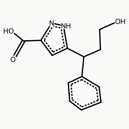 O=C(O)c1cc(C(CCO)c2ccccc2)[nH]n1